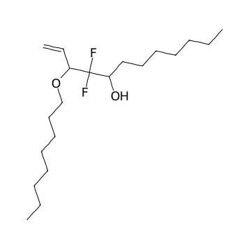 C=CC(OCCCCCCCC)C(F)(F)C(O)CCCCCCC